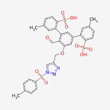 Cc1ccc(S(=O)(=O)n2cc(COc3cc(-c4cc(C)ccc4S(=O)(=O)O)cc(-c4cc(C)ccc4S(=O)(=O)O)c3C=O)nn2)cc1